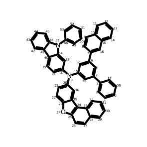 c1ccc(-c2cc(-c3ccc4ccccc4c3)cc(N(c3ccc4oc5ccc6ccccc6c5c4c3)c3ccc4c5ccccc5n(-c5ccccc5)c4c3)c2)cc1